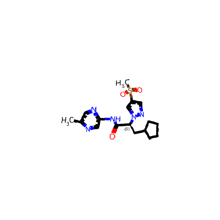 Cc1cnc(NC(=O)[C@H](CC2CCCC2)n2cc(S(C)(=O)=O)cn2)cn1